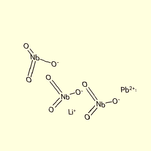 [Li+].[O]=[Nb](=[O])[O-].[O]=[Nb](=[O])[O-].[O]=[Nb](=[O])[O-].[Pb+2]